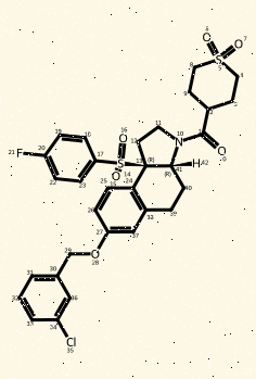 O=C(C1CCS(=O)(=O)CC1)N1CC[C@@]2(S(=O)(=O)c3ccc(F)cc3)c3ccc(OCc4cccc(Cl)c4)cc3CC[C@@H]12